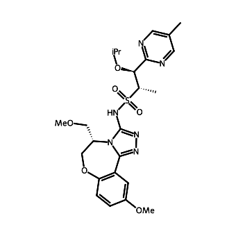 COC[C@H]1COc2ccc(OC)cc2-c2nnc(NS(=O)(=O)[C@@H](C)[C@@H](OC(C)C)c3ncc(C)cn3)n21